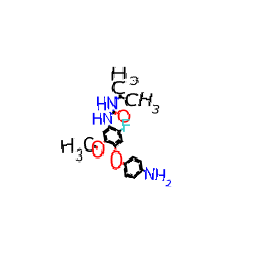 COc1cc(NC(=O)NC(C)C)c(F)cc1Oc1ccc(N)cc1